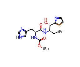 CC(C)C[C@@H](NC(=O)[C@H](Cc1c[nH]cn1)NC(=O)OC(C)(C)C)[C@H](O)c1nccs1